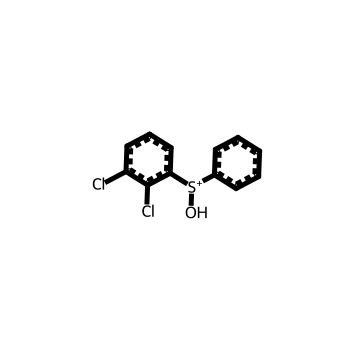 O[S+](c1ccccc1)c1cccc(Cl)c1Cl